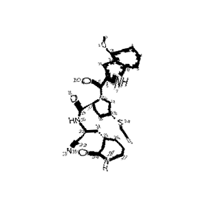 COc1cccc2[nH]c(C(=O)N3C[C@H](SC)C[C@H]3C(=O)N[C@H](C#N)C[C@@H]3CCNC3=O)cc12